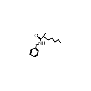 CCCCCC(C)C(=O)NCc1ccccc1